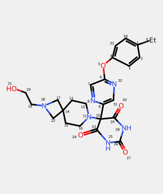 CCc1ccc(Oc2cnc(C3(N4CCC5(CC4)CN(CCO)C5)C(=O)NC(=O)NC3=O)cn2)cc1